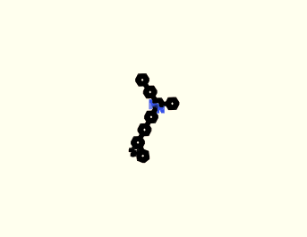 C[Si]1(C)c2ccccc2-c2cc(-c3ccc(-c4ccc(-c5nc(-c6ccccc6)cc(-c6ccc(-c7ccccc7)cc6)n5)cc4)cc3)ccc21